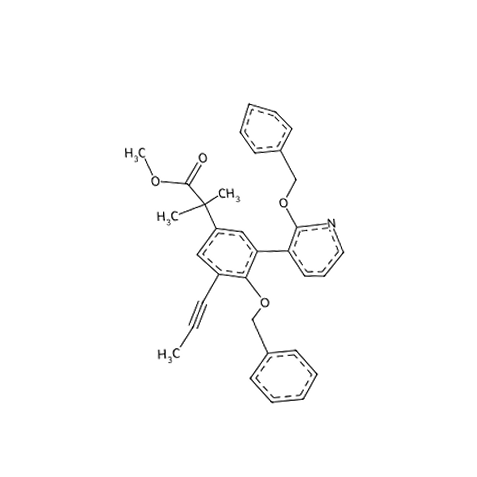 CC#Cc1cc(C(C)(C)C(=O)OC)cc(-c2cccnc2OCc2ccccc2)c1OCc1ccccc1